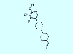 C/C=C/[C@H]1CC[C@H]([C@H]2CC[C@H](c3ccc(OCC)c(Cl)c3F)CC2)CC1